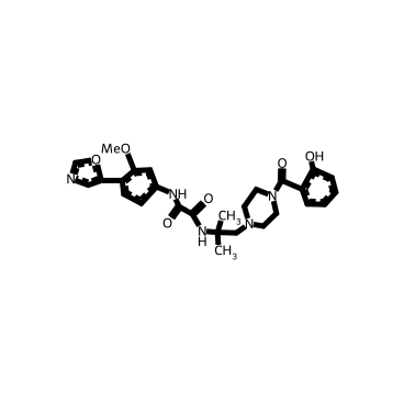 COc1cc(NC(=O)C(=O)NC(C)(C)CN2CCN(C(=O)c3ccccc3O)CC2)ccc1-c1cnco1